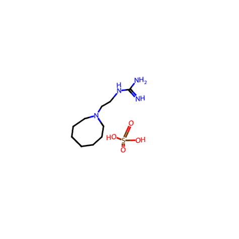 N=C(N)NCCN1CCCCCCC1.O=S(=O)(O)O